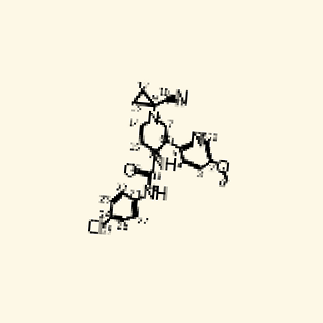 COc1ccc([C@@H]2CN(C3(C#N)CC3)CC[C@H]2NC(=O)Nc2ccc(Cl)cc2)nc1